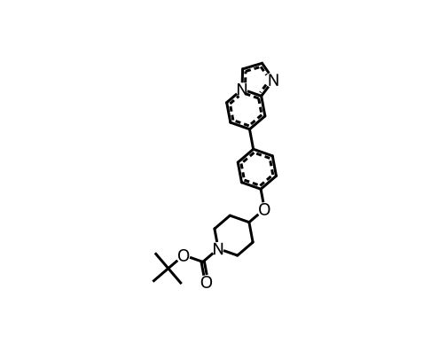 CC(C)(C)OC(=O)N1CCC(Oc2ccc(-c3ccn4ccnc4c3)cc2)CC1